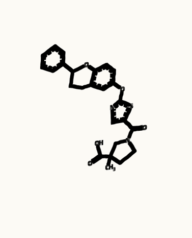 CC1(C(=O)O)CCN(C(=O)c2cnc(Oc3ccc4c(c3)CCC(c3ccccc3)O4)s2)C1